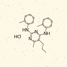 CCCc1c(C)nc(Nc2ccccc2C)nc1Nc1ccccc1C.Cl